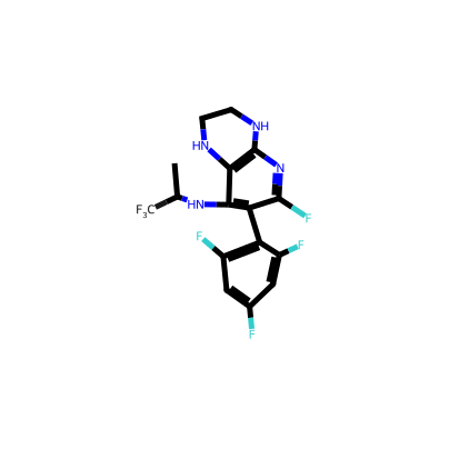 CC(Nc1c2c(nc(F)c1-c1c(F)cc(F)cc1F)NCCN2)C(F)(F)F